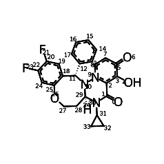 O=C1c2c(O)c(=O)ccn2N2[C@@H](c3ccccc3)c3cc(F)c(F)cc3OCC[C@@H]2N1C1CC1